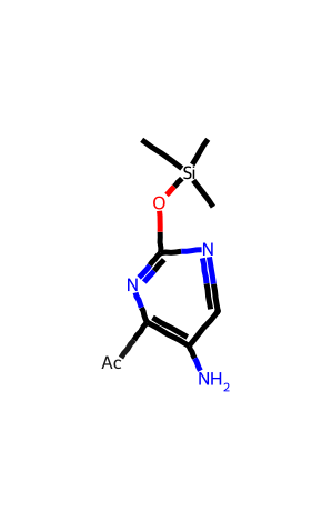 CC(=O)c1nc(O[Si](C)(C)C)ncc1N